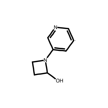 OC1CCN1c1c[c]cnc1